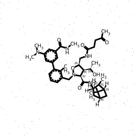 CNC(=O)c1cc(-c2cccc(CN3O[C@@H](CNC(=O)CCC(C)=O)[C@@H]([C@H](C)O)[C@H]3C(=O)N[C@H]3C[C@H]4C[C@@H]([C@@H]3C)C4(C)C)c2C)cc(N(C)C)c1